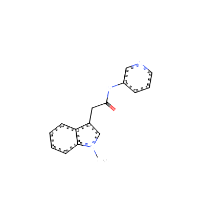 COn1cc(CC(=O)Nc2cccnc2)c2ccccc21